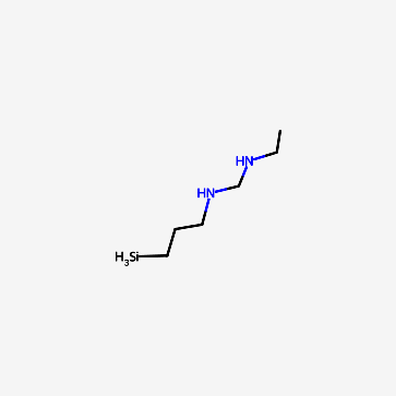 CCNCNCCC[SiH3]